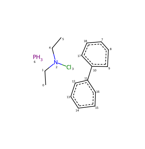 CCN(Cl)CC.P.c1ccc(-c2ccccc2)cc1